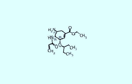 C=CC(=O)N[C@@H]1[C@@H](N)CC(C(=O)OCC)=C[C@H]1OC(CC)CC